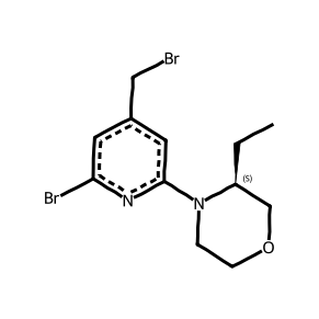 CC[C@H]1COCCN1c1cc(CBr)cc(Br)n1